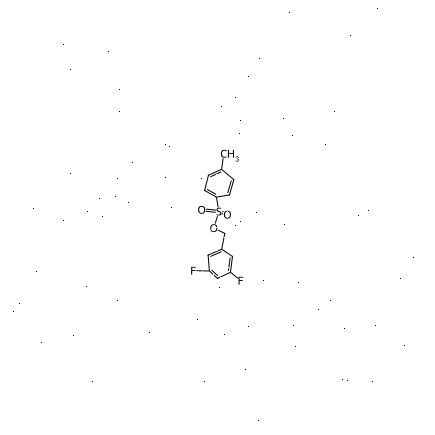 Cc1ccc(S(=O)(=O)OCc2cc(F)cc(F)c2)cc1